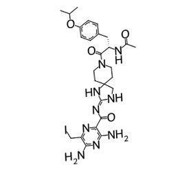 CC(=O)N[C@@H](Cc1ccc(OC(C)C)cc1)C(=O)N1CCC2(CC1)CN/C(=N\C(=O)c1nc(CI)c(N)nc1N)N2